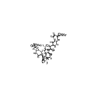 CNS(=O)(=O)CC1CCC(N(C)c2ncnc3c2ccn3C(=O)C(C)c2ccc3cc(OC)ccc3c2)CC1